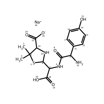 CC1(C)SC(C(NC(=O)C(N)c2ccc(O)cc2)C(=O)O)NC1C(=O)[O-].[Na+]